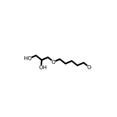 [O]CCCCCOCC(O)CO